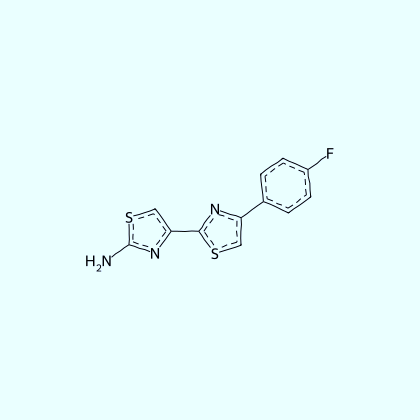 Nc1nc(-c2nc(-c3ccc(F)cc3)cs2)cs1